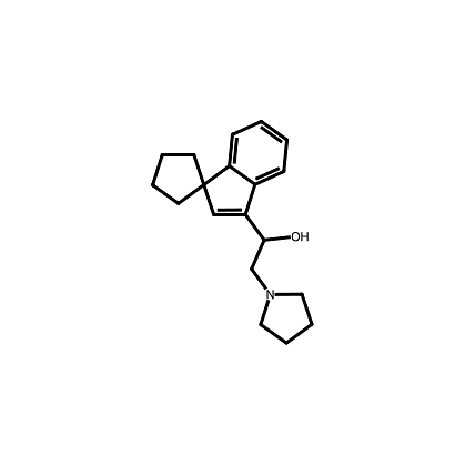 OC(CN1CCCC1)C1=CC2(CCCC2)c2ccccc21